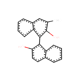 O=Cc1cc2ccccc2c(-c2c(O)ccc3ccccc23)c1O